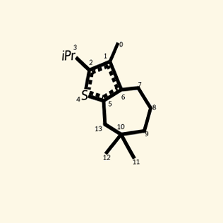 Cc1c(C(C)C)sc2c1CCCC(C)(C)C2